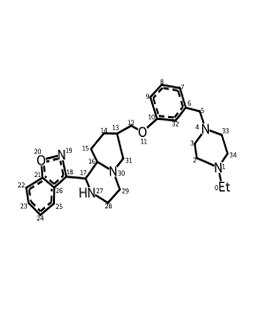 CCN1CCN(Cc2cccc(OCC3CCC4C(c5noc6ccccc56)NCCN4C3)c2)CC1